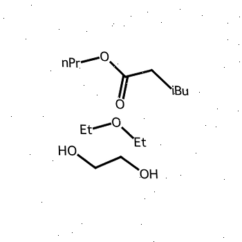 CCCOC(=O)CC(C)CC.CCOCC.OCCO